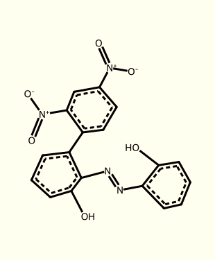 O=[N+]([O-])c1ccc(-c2cccc(O)c2N=Nc2ccccc2O)c([N+](=O)[O-])c1